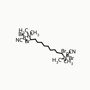 C[N+](C)(CCCCCCCCCC[N+](C)(C)[B-](Br)(Br)C#N)[B-](Br)(Br)C#N